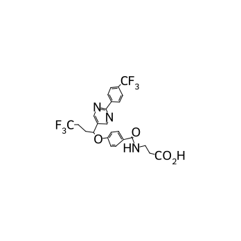 O=C(O)CCNC(=O)c1ccc(OC(CCC(F)(F)F)c2cnc(-c3ccc(C(F)(F)F)cc3)nc2)cc1